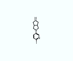 Ic1ccc(N2CC3CNCC3C2)cn1